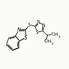 CC(C)c1nnc(Sc2nc3ccccc3s2)s1